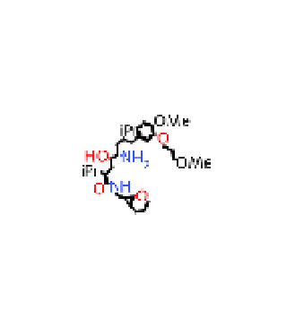 COCCCOc1cc(CC(C[C@H](N)C(O)CC(C(=O)NCC2C3CCCOC32)C(C)C)C(C)C)ccc1OC